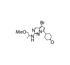 COCC(C)Nc1ncc2c(Br)cc(C3CCC(=O)CC3)n2n1